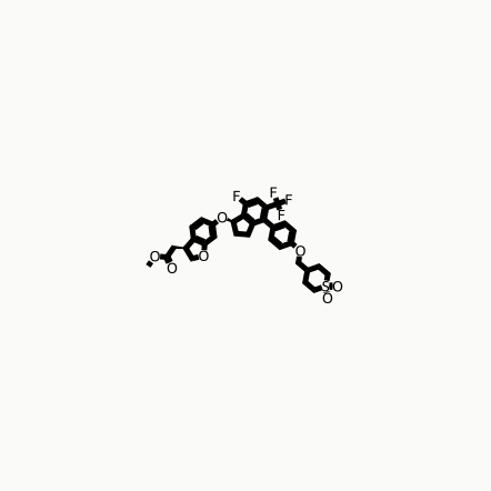 COC(=O)C[C@@H]1COc2cc(O[C@@H]3CCc4c(-c5ccc(OCC6CCS(=O)(=O)CC6)cc5)c(C(F)(F)F)cc(F)c43)ccc21